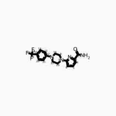 NC(=O)c1[c]ccc(N2CCN(c3ccc(C(F)(F)F)cc3)CC2)n1